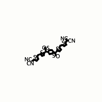 N#CC(C#N)=c1cc/c(=C\c2ccc(C3=C4C=C5SC(=O)C(c6ccc(/C=c7\ccc(=C(C#N)C#N)s7)s6)C5C=C4SC3=O)s2)s1